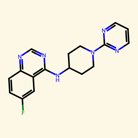 Fc1ccc2ncnc(NC3CCN(c4ncccn4)CC3)c2c1